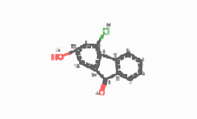 O=C1c2ccccc2-c2c(Cl)cc(O)cc21